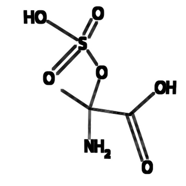 CC(N)(OS(=O)(=O)O)C(=O)O